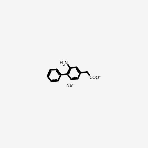 Nc1cc(CC(=O)[O-])ccc1-c1ccccc1.[Na+]